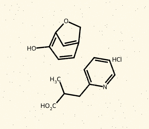 CC(Cc1ccccn1)C(=O)O.Cl.Oc1ccc2cc1OC2